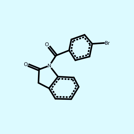 O=C1Cc2ccccc2N1C(=O)c1ccc(Br)cc1